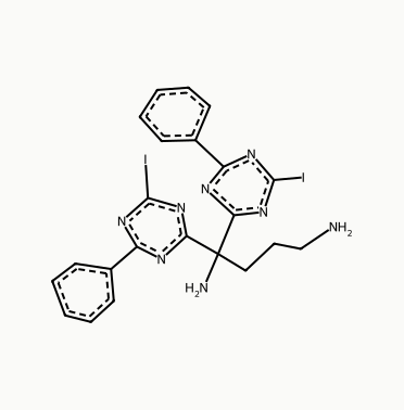 NCCCC(N)(c1nc(I)nc(-c2ccccc2)n1)c1nc(I)nc(-c2ccccc2)n1